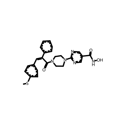 CSc1ccc(C=C(C(=O)N2CCN(c3ncc(C(=O)NO)cn3)CC2)c2ccccc2)cc1